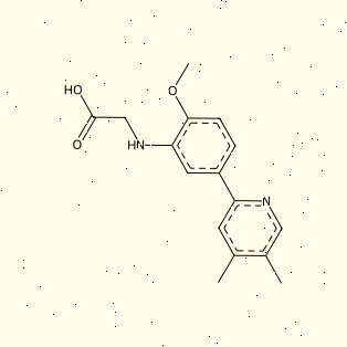 COc1ccc(-c2cc(C)c(C)cn2)cc1NCC(=O)O